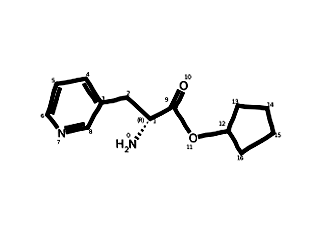 N[C@H](Cc1cccnc1)C(=O)OC1CCCC1